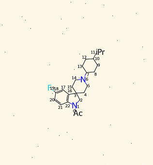 CC(=O)N1CC2(CCN(C3CCC(C(C)C)CC3)CC2)c2cc(F)ccc21